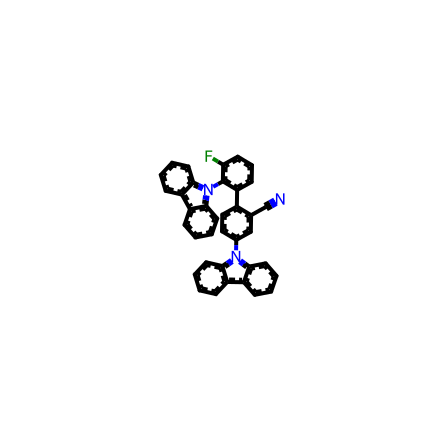 N#Cc1cc(-n2c3ccccc3c3ccccc32)ccc1-c1cccc(F)c1-n1c2ccccc2c2ccccc21